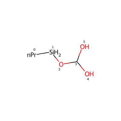 CCC[SiH2]OC(O)O